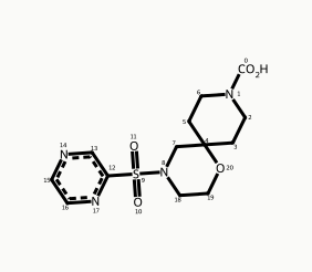 O=C(O)N1CCC2(CC1)CN(S(=O)(=O)c1cnccn1)CCO2